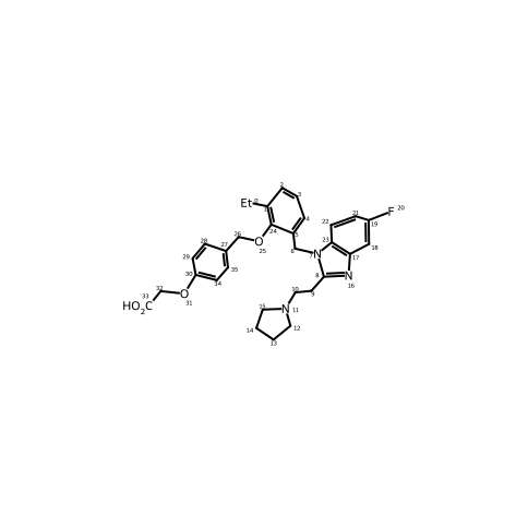 CCc1cccc(Cn2c(CCN3CCCC3)nc3cc(F)ccc32)c1OCc1ccc(OCC(=O)O)cc1